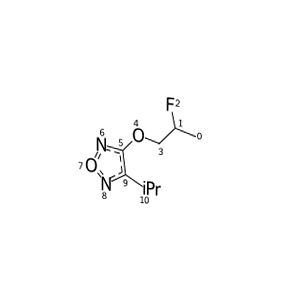 CC(F)COc1nonc1C(C)C